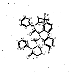 O=C([C@@H](c1ccccc1Cl)N(C(=O)[C@@H]1CCCC(=O)N1c1ncccn1)c1cccc(F)c1)N(c1ccccc1)C1CC(F)(F)C1